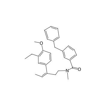 CC=C(CCN(C)C(=O)c1cccc(Cc2ccccc2)c1)c1ccc(OC)c(CC)c1